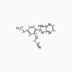 CSc1ccc(-c2nc3nccnc3[nH]2)c(OCC#N)c1